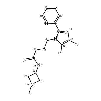 C=C(CCCn1c(-c2ccccn2)nc(C)c1C)NC1CN(C)C1